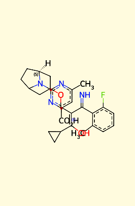 Cc1cc(C(=O)O)nc(N2C3CC[C@H]2CC(OC/C(C(=N)c2c(C)cccc2F)=C(/O)C2CC2)C3)n1